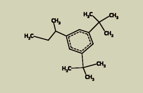 CCC(C)c1cc(C(C)(C)C)cc(C(C)(C)C)c1